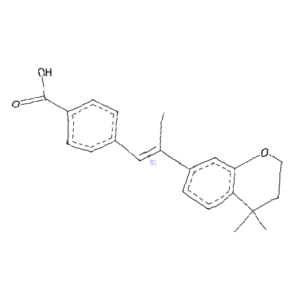 C/C(=C\c1ccc(C(=O)O)cc1)c1ccc2c(c1)OCCC2(C)C